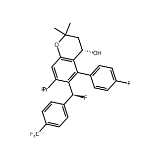 CC(C)c1cc2c(c(-c3ccc(F)cc3)c1[C@@H](F)c1ccc(C(F)(F)F)cc1)[C@@H](O)CC(C)(C)O2